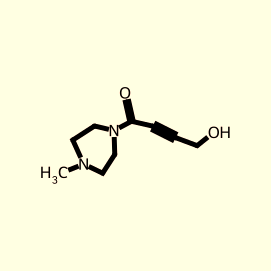 CN1CCN(C(=O)C#CCO)CC1